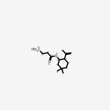 C=C(C)C1CCC(C)(C)CC1OC(=O)CCC(=O)O